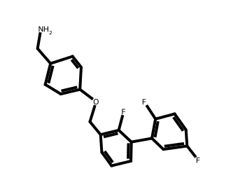 NCc1ccc(OCc2cccc(-c3cc(F)ccc3F)c2F)cc1